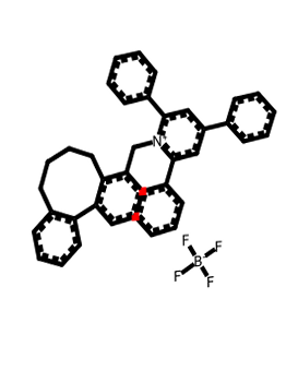 F[B-](F)(F)F.c1ccc(-c2cc(-c3ccccc3)[n+](Cc3cccc4c3CCCCc3ccccc3-4)c(-c3ccccc3)c2)cc1